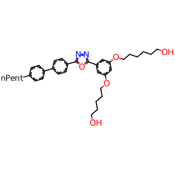 CCCCCc1ccc(-c2ccc(-c3nnc(-c4cc(OCCCCCO)cc(OCCCCCCO)c4)o3)cc2)cc1